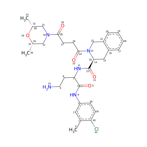 Cc1cc(NC(=O)C(CCN)NC(=O)[C@@H]2Cc3ccccc3CN2C(=O)CCC(=O)N2C[C@@H](C)O[C@@H](C)C2)ccc1Cl